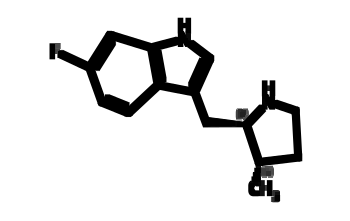 C[C@H]1CCN[C@@H]1Cc1c[nH]c2cc(F)ccc12